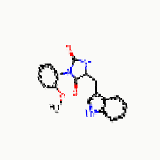 COc1ccccc1N1C(=O)NC(Cc2c[nH]c3ccccc23)C1=O